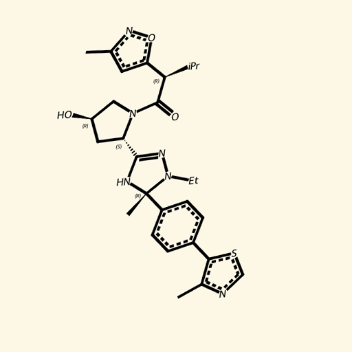 CCN1N=C([C@@H]2C[C@@H](O)CN2C(=O)[C@@H](c2cc(C)no2)C(C)C)N[C@@]1(C)c1ccc(-c2scnc2C)cc1